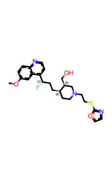 COc1ccc2nccc([C@@H](F)CC[C@@H]3CCN(CCSc4ncco4)C[C@@H]3CO)c2c1